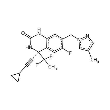 Cc1cnn(Cc2cc3c(cc2F)[C@@](C#CC2CC2)(C(C)(F)F)NC(=O)N3)c1